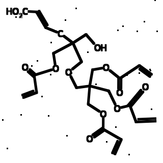 C=CC(=O)OCC(CO)(CC=CC(=O)O)COCC(COC(=O)C=C)(COC(=O)C=C)COC(=O)C=C